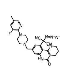 Cc1cnc(N2CCN(Cc3cc(C(C#N)(C#N)N=[N+]=[N-])c4c5c(c(=O)[nH]c4c3)CCCN5)CC2)c(F)c1